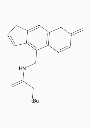 C=C1C=Cc2c(cc3c(c2CNC(=C)CC(C)(C)C)C=CC3)C1